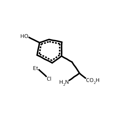 CCCl.NC(Cc1ccc(O)cc1)C(=O)O